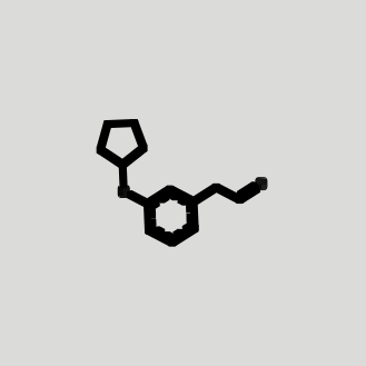 O=CCc1cccc(OC2CCCC2)c1